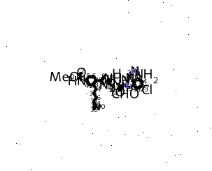 COC(=O)Nc1ccc(-c2c[nH]c([C@H](CC=O)NC(=O)/C=C/c3cc(Cl)ccc3N(N)/C=N\N)n2)c(CCCCN(C)C)c1